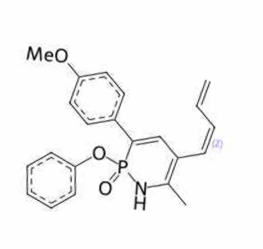 C=C/C=C\C1=C(C)NP(=O)(Oc2ccccc2)C(c2ccc(OC)cc2)=C1